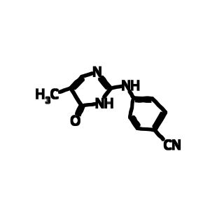 Cc1cnc(Nc2ccc(C#N)cc2)[nH]c1=O